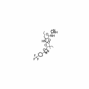 CCCC[C@H](NC(=O)OC(c1nnc(-c2ccc(C(F)(F)F)cc2)o1)C(C)(C)CC)C(=O)C(=O)Nc1ccn[nH]1